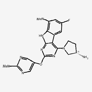 CNc1ncc(Oc2nc(N3CC[C@H](N)C3)c3c(n2)[nH]c2c(NC)cc(F)cc23)cn1